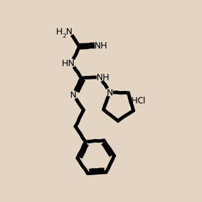 Cl.N=C(N)NC(=NCCc1ccccc1)NN1CCCC1